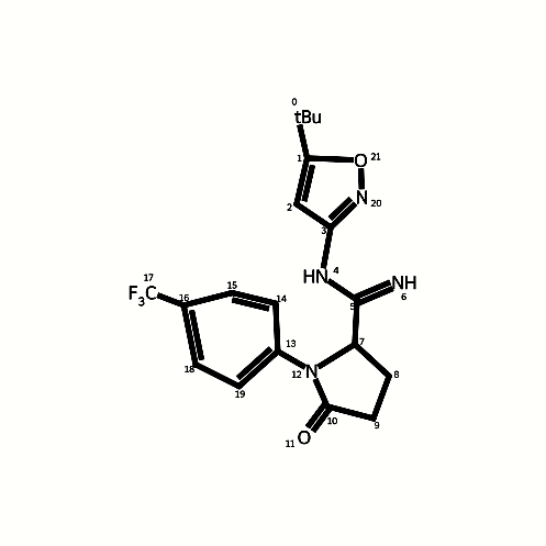 CC(C)(C)c1cc(NC(=N)C2CCC(=O)N2c2ccc(C(F)(F)F)cc2)no1